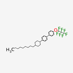 CCCCCCCCCC1CCC(c2ccc(-c3ccc(OC(F)(F)C(F)(F)C(F)(F)F)cc3)cc2)CC1